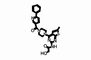 Cc1cc2c(N3CCN(C(=O)c4ccc(-c5ccccc5)nc4)CC3)nc(NC(=O)CO)nc2s1